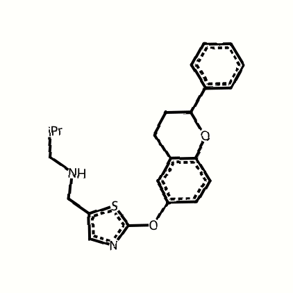 CC(C)CNCc1cnc(Oc2ccc3c(c2)CCC(c2ccccc2)O3)s1